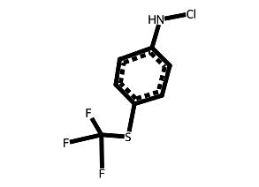 FC(F)(F)Sc1ccc(NCl)cc1